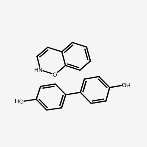 C1=Cc2ccccc2ON1.Oc1ccc(-c2ccc(O)cc2)cc1